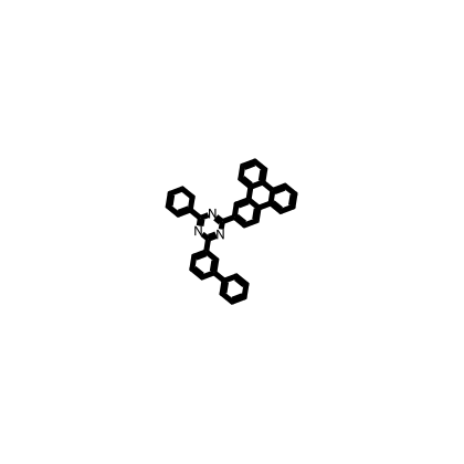 C1=CCCC(c2nc(-c3cccc(-c4ccccc4)c3)nc(-c3ccc4c5ccccc5c5ccccc5c4c3)n2)=C1